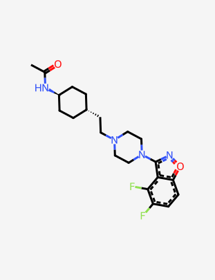 CC(=O)N[C@H]1CC[C@H](CCN2CCN(c3noc4ccc(F)c(F)c34)CC2)CC1